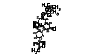 Cc1onc([C@H]2CC[C@H](c3nnc4n3-c3ccc(Cl)cc3CN(OC(=O)OC(C)(C)C)C4)CC2)c1F